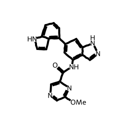 COc1cncc(C(=O)Nc2cc(-c3cccc4[nH]ccc34)cc3[nH]ncc23)n1